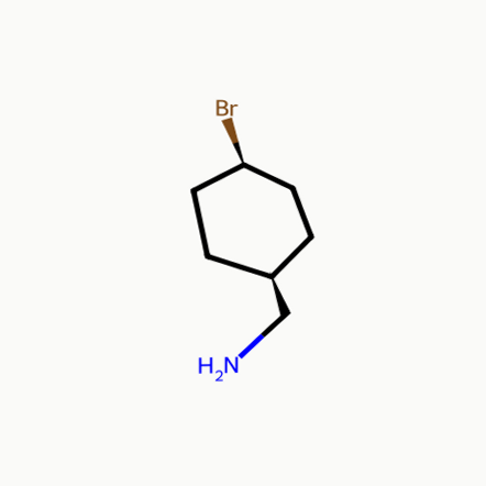 NC[C@H]1CC[C@@H](Br)CC1